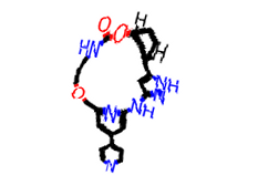 O=C1NCCCOCc2cc(-c3ccncc3)cc(n2)Nc2cc([nH]n2)[C@H]2CC[C@H](C2)O1